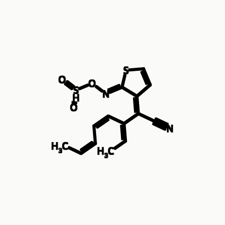 C\C=C/C=C\C(=C/C)C(\C#N)=C1\C=CS\C1=N/O[SH](=O)=O